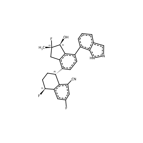 C[C@]1(F)Cc2c([C@H]3CC[C@H](F)c4cc(F)cc(C#N)c43)ccc(-c3cccc4cn[nH]c34)c2[C@@H]1O